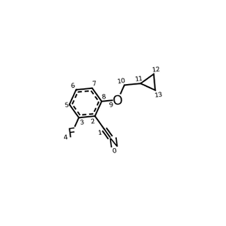 N#Cc1c(F)cccc1OCC1CC1